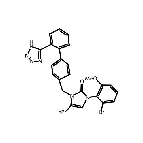 CCCc1cn(-c2c(Br)cccc2OC)c(=O)n1Cc1ccc(-c2ccccc2-c2nnn[nH]2)cc1